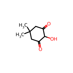 CC1(C)CC(=O)C(O)C(=O)C1